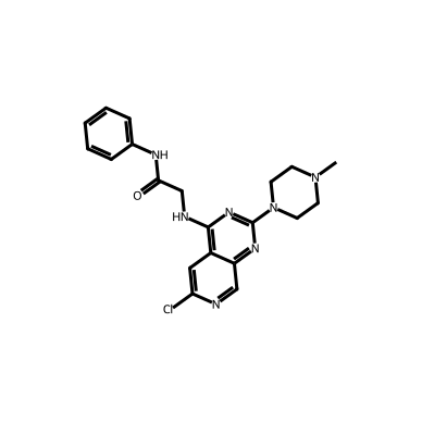 CN1CCN(c2nc(NCC(=O)Nc3ccccc3)c3cc(Cl)ncc3n2)CC1